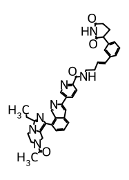 CCc1nc(-c2cccc3cc(-c4ccc(C(=O)NCC/C=C/c5cccc(C6CCC(=O)NC6=O)c5)nc4)ncc23)c2n1CCN(C(C)=O)C2